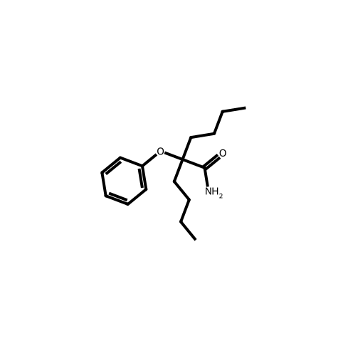 CCCCC(CCCC)(Oc1ccccc1)C(N)=O